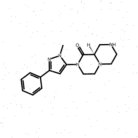 Cn1nc(-c2ccccc2)cc1N1CCN2CCNC[C@@H]2C1=O